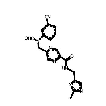 Cc1ncc(CNC(=O)c2cnc(CN(C=O)c3cccc(C#N)c3)cn2)s1